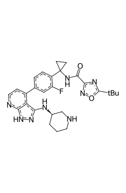 CC(C)(C)c1nc(C(=O)NC2(c3ccc(-c4ccnc5[nH]nc(N[C@@H]6CCCNC6)c45)cc3F)CC2)no1